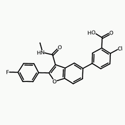 CNC(=O)c1c(-c2ccc(F)cc2)oc2ccc(-c3ccc(Cl)c(C(=O)O)c3)cc12